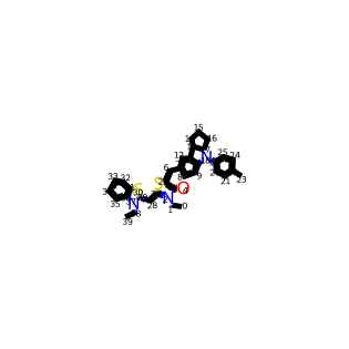 CCn1c(=O)/c(=C\c2ccc3c(c2)C2CCCC2N3c2ccc(C)cc2)s/c1=C\c1sc2ccccc2[n+]1CC